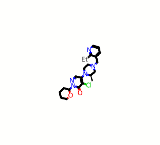 CCc1ncccc1CN1CCN(c2cnn(C3CCCCO3)c(=O)c2Cl)[C@H](C)C1